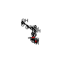 CC[C@H](C)[C@@H]([C@@H](CC(=O)N1CCC[C@H]1[C@H](OC)[C@@H](C)C(=O)N[C@@H](Cc1ccccc1)C(=O)Nc1ccc(CNC(=O)CCCCCN2C(=O)C=CC2O)cc1)OC)N(C)C(=O)[C@@H](NC(=O)[C@@H]1[C@H]2CC[C@@H]([C@H]2C)N1C)C(C)C